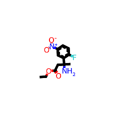 CCOC(=O)CC(C)(N)c1cc([N+](=O)[O-])ccc1F